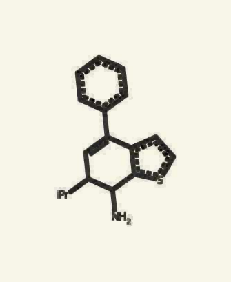 CC(C)C1C=C(c2ccccc2)c2ccsc2C1N